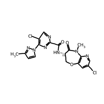 Cc1ccn(-c2nc(C(=O)N[C@H]3COc4cc(Cl)cnc4N(C)C3=O)ncc2Cl)n1